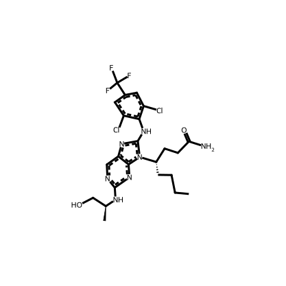 CCCC[C@@H](CCC(N)=O)n1c(Nc2c(Cl)cc(C(F)(F)F)cc2Cl)nc2cnc(N[C@@H](C)CO)nc21